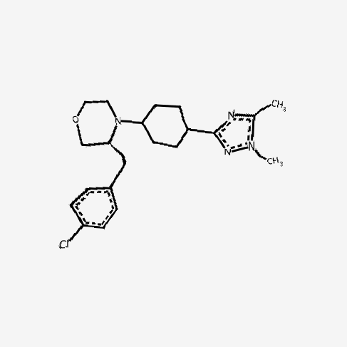 Cc1nc(C2CCC(N3CCOC[C@@H]3Cc3ccc(Cl)cc3)CC2)nn1C